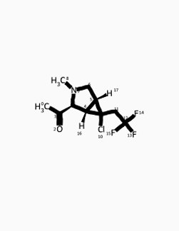 CC(=O)[C@@H]1[C@@H]2[C@H](CN1C)C2(Cl)CC(F)(F)F